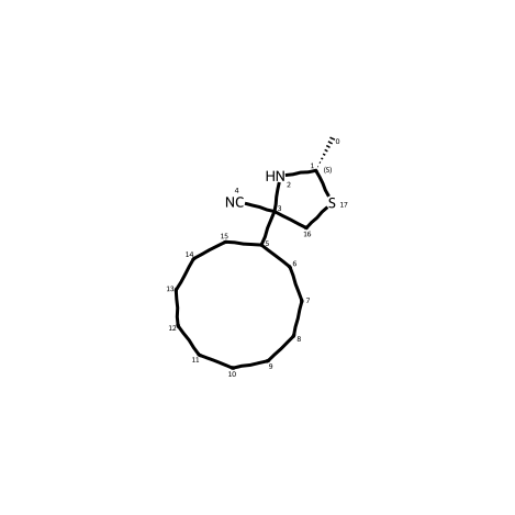 C[C@H]1NC(C#N)(C2CCCCCCCCCC2)CS1